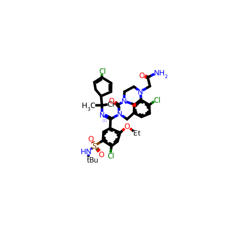 CCOc1cc(Cl)c(S(=O)(=O)NC(C)(C)C)cc1/C(=N/C(C)(C)C1C=CC(Cl)=CC1)N(Cc1ccc(Cl)cc1)C(=O)N1CCN(CC(N)=O)CC1